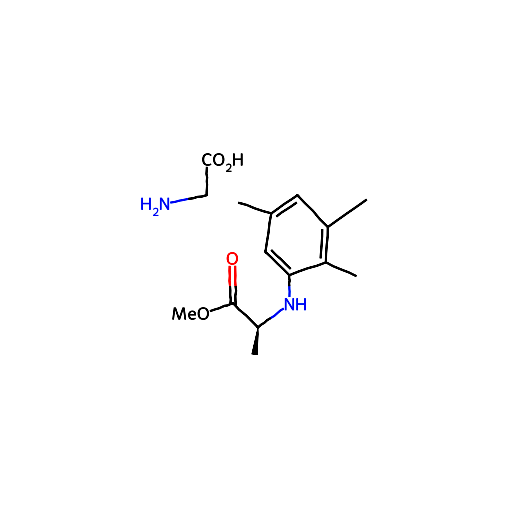 COC(=O)[C@H](C)Nc1cc(C)cc(C)c1C.NCC(=O)O